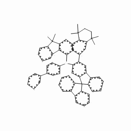 CC1(C)CCC(C)(C)c2cc(-c3cc4c(cc3N(c3ccc(-c5ccccc5)cc3)c3cccc5c3-c3ccccc3C5(C)C)C3(c5ccccc5-c5ccccc53)c3ccccc3-4)ccc21